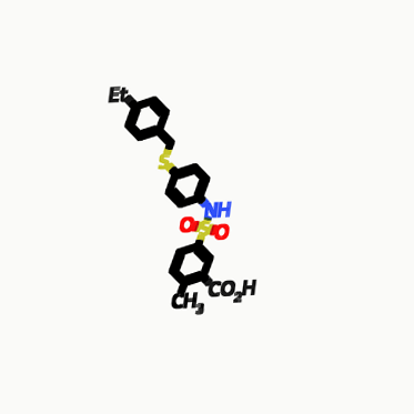 CCc1ccc(CSc2ccc(NS(=O)(=O)c3ccc(C)c(C(=O)O)c3)cc2)cc1